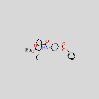 C=CCC(CC1(C(=O)N[C@H]2CC[C@@H](C(=O)OCc3ccccc3)CC2)CCCC1)C(=O)OC(C)(C)C